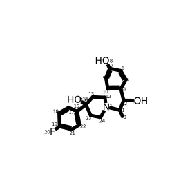 CC(C(O)c1ccc(O)cc1)N1CCC(O)(c2ccc(F)cc2)CC1